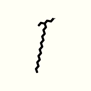 [CH2]CCC(CC)CCCCCCCCCCCCCCC